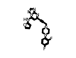 Fc1ccc(N2CCN(CC#Cc3cc(Nc4ccco4)n4ncnc4n3)CC2)c(F)c1